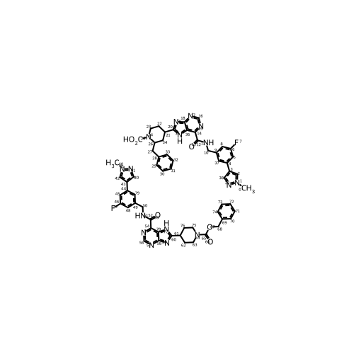 Cn1cc(-c2cc(F)cc(CNC(=O)c3ncnc4nc(C5CCN(C(=O)O)C(Cc6ccccc6)C5)[nH]c34)c2)cn1.Cn1cc(-c2cc(F)cc(CNC(=O)c3ncnc4nc(C5CCN(C(=O)OCc6ccccc6)CC5)[nH]c34)c2)cn1